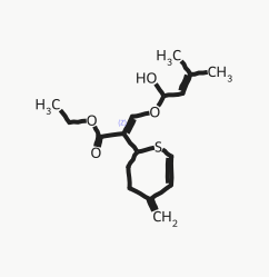 C=C1C=CSC(/C(=C\OC(O)C=C(C)C)C(=O)OCC)CC1